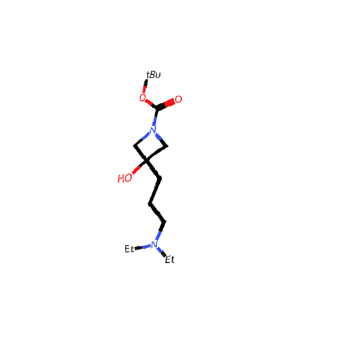 CCN(CC)CCCC1(O)CN(C(=O)OC(C)(C)C)C1